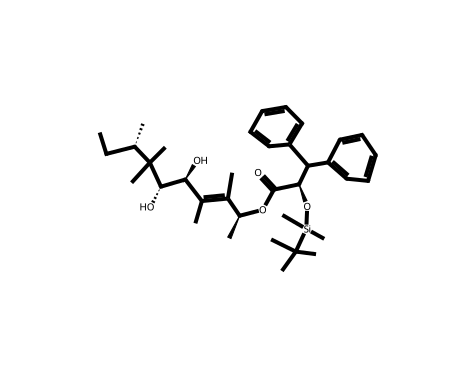 CC[C@H](C)C(C)(C)[C@@H](O)[C@@H](O)/C(C)=C(\C)[C@H](C)OC(=O)[C@H](O[Si](C)(C)C(C)(C)C)C(c1ccccc1)c1ccccc1